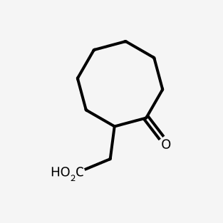 O=C(O)CC1CCCCCCC1=O